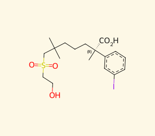 CC(C)(CCC[C@@](C)(C(=O)O)c1cccc(I)c1)CS(=O)(=O)CCO